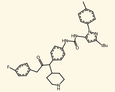 Cc1ccc(-n2nc(C(C)(C)C)cc2NC(=O)Nc2ccc(C(C(=O)Cc3ccc(F)cc3)C3CCNCC3)cc2)cc1